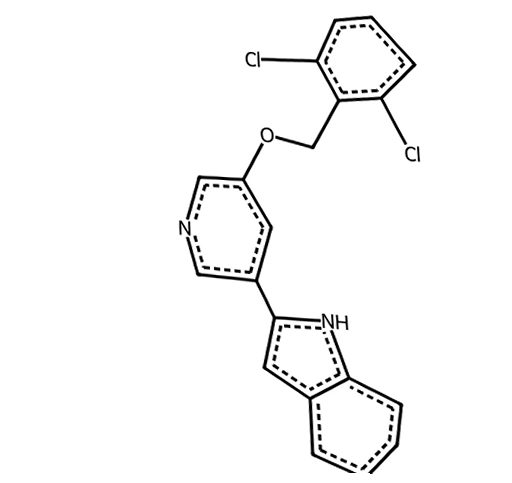 Clc1cccc(Cl)c1COc1cncc(-c2cc3ccccc3[nH]2)c1